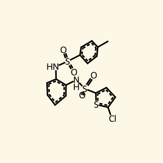 Cc1ccc(S(=O)(=O)Nc2ccccc2NS(=O)(=O)c2ccc(Cl)s2)cc1